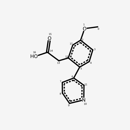 COc1ccc(-c2cccnc2)c(CC(=O)O)c1